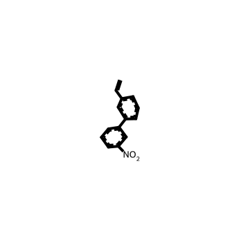 C=Cc1cccc(-c2cccc([N+](=O)[O-])c2)c1